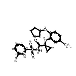 Cc1ccc(OC2CCCC2)c(OC2(C(=O)NS(=O)(=O)c3cccc(F)n3)CC2)c1